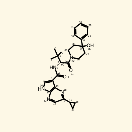 CC(C)(C)[C@@H](NC(=O)c1c[nH]c2ncc(C3CC3)nc12)C(=O)N1CCC(O)(c2ccccc2)CC1